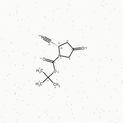 CC(C)(C)OC(=O)N1CC(=O)C[C@H]1C#N